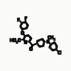 CN(c1ccc(Cl)cc1)c1ccc(C(=O)c2ccc(Oc3ccc(F)c(F)c3)c(C(=O)O)n2)cc1